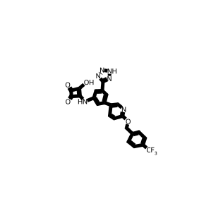 O=c1c(O)c(Nc2cc(-c3ccc(OCc4ccc(C(F)(F)F)cc4)nc3)cc(-c3nn[nH]n3)c2)c1=O